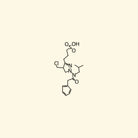 CC(C)CN(C(=O)Cc1ccccc1)N1CC(CCl)C(CCCS(=O)(=O)O)=N1